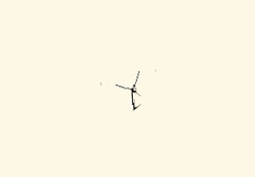 CC1(C=O)CO1